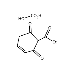 CCC(=O)C1C(=O)C=CCC1=O.O=C(O)O